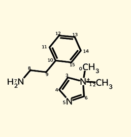 C[N+]1(C)C=CN=C1.NCCc1ccccc1